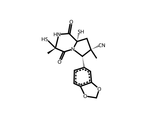 C[C@]1(C#N)C[C@]2(S)C(=O)N[C@@](C)(S)C(=O)N2[C@H]1c1ccc2c(c1)OCO2